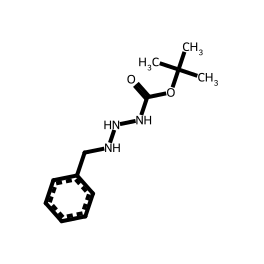 CC(C)(C)OC(=O)NNNCc1ccccc1